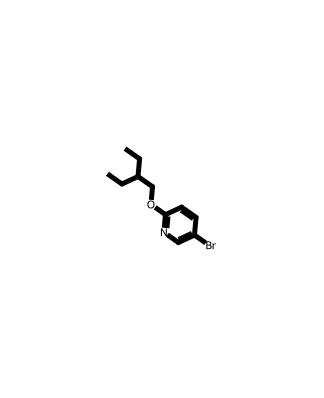 CCC(CC)COc1ccc(Br)cn1